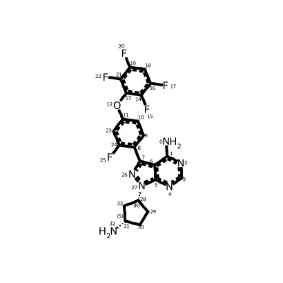 Nc1ncnc2c1c(-c1ccc(Oc3c(F)c(F)cc(F)c3F)cc1F)nn2[C@@H]1CC[C@H](N)C1